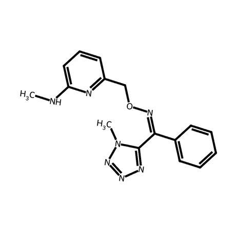 CNc1cccc(CO/N=C(/c2ccccc2)c2nnnn2C)n1